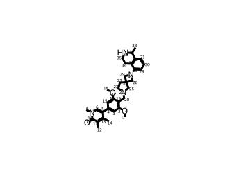 COc1cc(-c2cn(C)c(=O)c(C)c2C)cc(OC)c1CN1CCC2(C1)CN(c1cccc3c1CCNC3C)C2